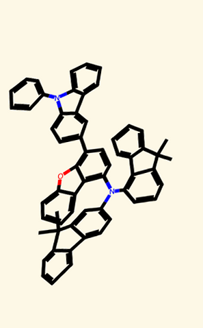 CC1(C)c2ccccc2-c2ccc(N(c3cccc4c3-c3ccccc3C4(C)C)c3ccc(-c4ccc5c(c4)c4ccccc4n5-c4ccccc4)c4oc5ccccc5c34)cc21